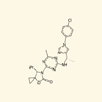 Cc1nc(N[C@@H](C)c2cn(-c3ccc(Cl)cc3)cn2)nc(N2C(=O)OC3(CC3)C2C(C)C)n1